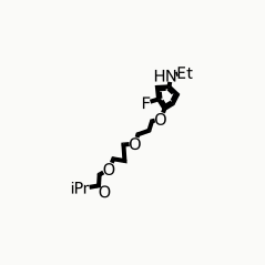 CCNc1ccc(OCCCOCCCOCC(=O)C(C)C)c(F)c1